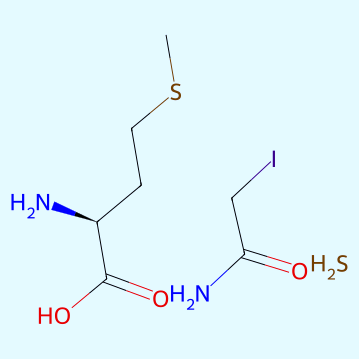 CSCC[C@H](N)C(=O)O.NC(=O)CI.S